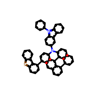 c1ccc(-c2cccc3cccc(-c4ccccc4N(c4ccc(-c5cccc6sc7ccccc7c56)cc4)c4ccc5c(c4)c4ccccc4n5-c4ccccc4)c23)cc1